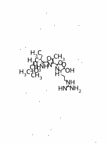 CCC(C)[C@H](NC(=O)OC(C)(C)C)c1nc(C(=O)N[C@@H](CCCNC(=N)N)C(=O)O)c(C)o1